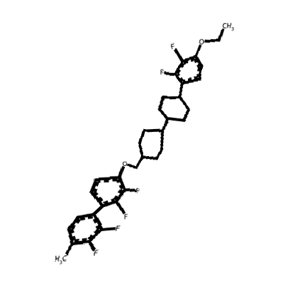 CCOc1ccc(C2CCC(C3CCC(COc4ccc(-c5ccc(C)c(F)c5F)c(F)c4F)CC3)CC2)c(F)c1F